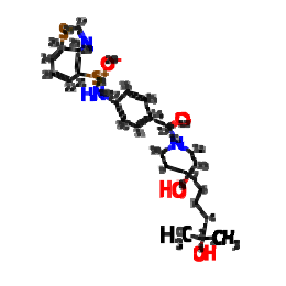 CC(C)(O)CCCC1(O)CCN(C(=O)c2ccc(N[S+]([O-])c3cccc4scnc34)cc2)CC1